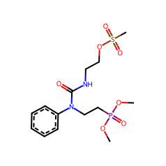 COP(=O)(CCN(C(=O)NCCOS(C)(=O)=O)c1ccccc1)OC